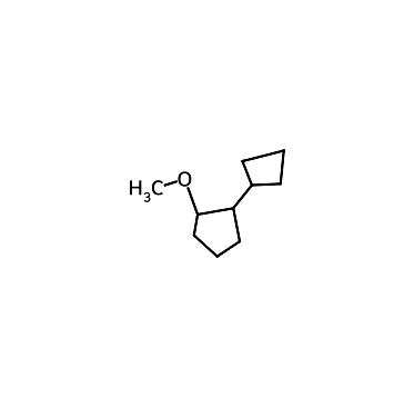 COC1CCCC1C1CCC1